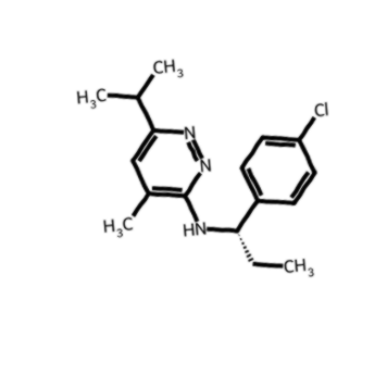 CC[C@H](Nc1nnc(C(C)C)cc1C)c1ccc(Cl)cc1